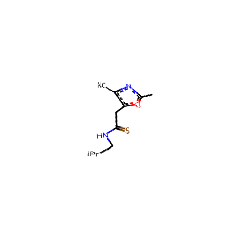 Cc1nc(C#N)c(CC(=S)NCC(C)C)o1